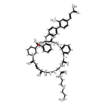 Cc1cc(/C=C/C(=O)O)ccc1-c1ccc(C[C@@H]2NC(=O)[C@]3(Cc4ccccc4)CCCN(C3)C(=O)/C=C/C(=O)NCC[C@@H](C(=O)NCCOCCN)NC(=O)Cc3ccccc3CNC2=O)cc1